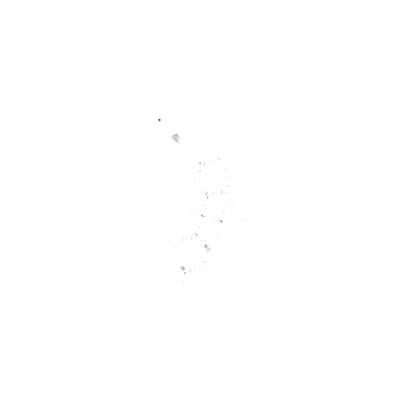 CC(C)c1ccc(C(O)(c2cncc(C#CC(C)(C)O)c2)C2(C)CN(C)C2)cc1